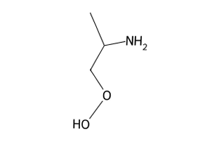 CC(N)COO